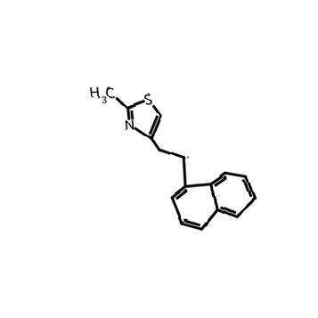 Cc1nc(C[CH]c2cccc3ccccc23)cs1